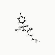 Cc1ccc(S(=O)(=O)OC(O)CCCN)cc1.Cl